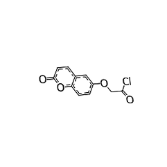 O=C(Cl)COc1ccc2oc(=O)ccc2c1